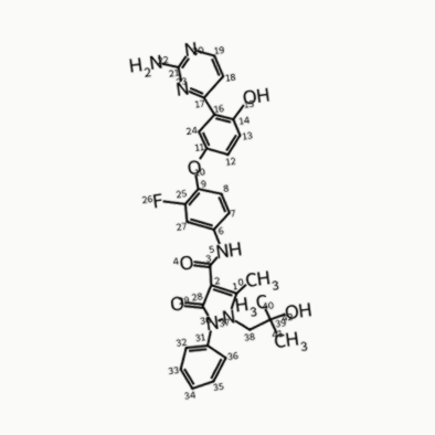 Cc1c(C(=O)Nc2ccc(Oc3ccc(O)c(-c4ccnc(N)n4)c3)c(F)c2)c(=O)n(-c2ccccc2)n1CC(C)(C)O